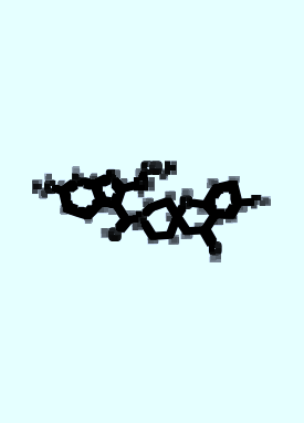 O=C(O)Nc1sc2nc(C(F)(F)F)ccc2c1C(=O)N1CCC2(CC1)CC(=O)c1cc(F)ccc1O2